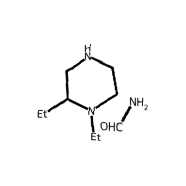 CCC1CNCCN1CC.NC=O